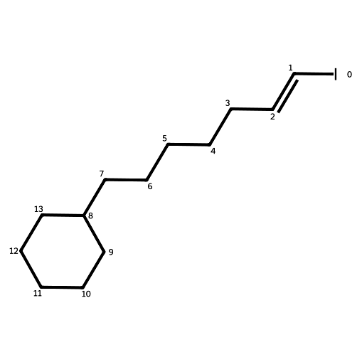 I/C=C/CCCCCC1CCCCC1